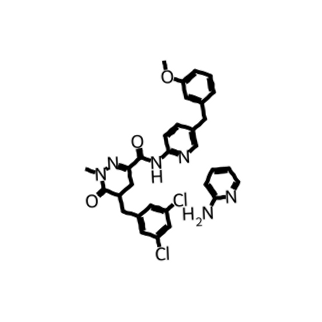 COc1cccc(Cc2ccc(NC(=O)C3=NN(C)C(=O)C(Cc4cc(Cl)cc(Cl)c4)C3)nc2)c1.Nc1ccccn1